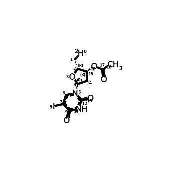 [2H]C[C@H]1O[C@@H](n2cc(I)c(=O)[nH]c2=O)C[C@H]1OC(C)=O